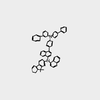 CC1(C)C2=C(C=CCC2)c2ccc(N(c3cccc4ccccc34)c3ccc(-c4ccc(N(c5ccc(-c6ccccc6)cc5)c5cccc(-c6ccccc6)c5)cc4)c4ccccc34)cc21